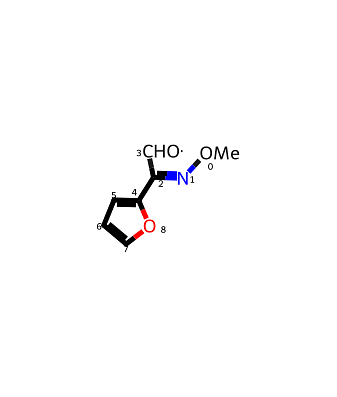 CO/N=C(\[C]=O)c1ccco1